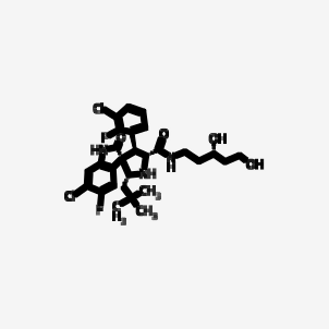 CC(C)(C)C[C@H]1N[C@@H](C(=O)NCC[C@H](O)CCO)[C@H](c2cccc(Cl)c2F)[C@@]12C(=O)Nc1cc(Cl)c(F)cc12